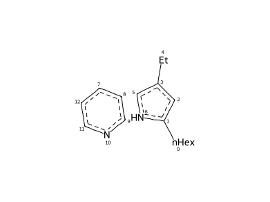 CCCCCCc1cc(CC)c[nH]1.c1ccncc1